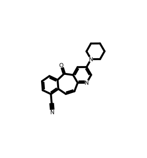 N#Cc1cccc2c(=O)c3cc(N4CCCCC4)cnc3ccc12